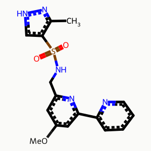 COc1cc(CNS(=O)(=O)c2c[nH]nc2C)nc(-c2ccccn2)c1